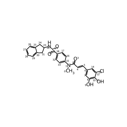 CN(C(=O)C=Cc1cc(O)c(O)c(Cl)c1)c1ccc(S(=O)(=O)NC2Cc3ccccc3C2)cc1